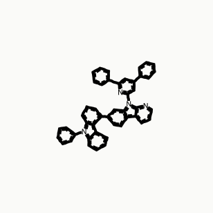 c1ccc(-c2cc(-c3ccccc3)nc(-n3c4cc(-c5cccc6c5c5ccccc5n6-c5ccccc5)ccc4c4cccnc43)c2)cc1